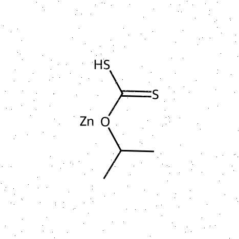 CC(C)OC(=S)S.[Zn]